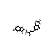 Cc1c(CN(C)C(=O)C=Cc2cnc3c(c2)OCC(=O)N3)sc2ccc(F)cc12